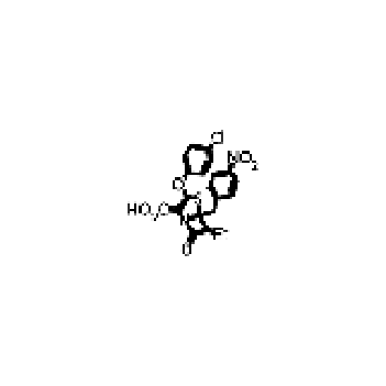 CCC1C(=O)N2C(C(=O)O)=C(Oc3ccc(Cl)cc3)SC12Cc1ccc([N+](=O)[O-])cc1